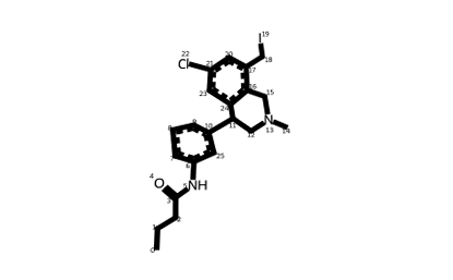 CCCC(=O)Nc1cccc(C2CN(C)Cc3c(CI)cc(Cl)cc32)c1